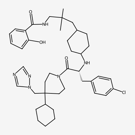 CC(C)(CNC(=O)c1ccccc1O)CC1CCC(N[C@H](Cc2ccc(Cl)cc2)C(=O)N2CCC(Cn3cncn3)(C3CCCCC3)CC2)CC1